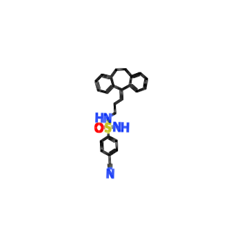 N#Cc1ccc(S(=N)(=O)NCCC=C2c3ccccc3CCc3ccccc32)cc1